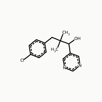 CC(C)(Cc1ccc(Cl)cc1)C(O)c1cncnc1